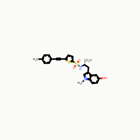 Cc1ccc(C#Cc2ccc(S(=O)(=O)N[C@@H](Cc3cn(C)c4ccc(O)cc34)C(=O)O)s2)cc1